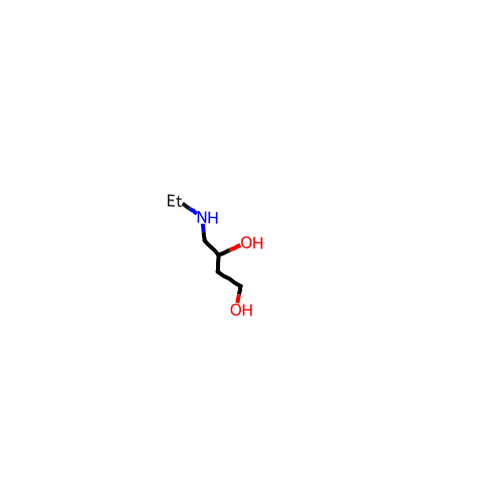 CCNCC(O)CCO